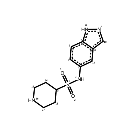 O=S(=O)(Nc1ccc2[nH]ncc2c1)C1CCNCC1